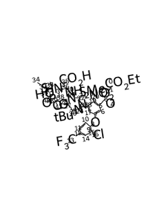 CCOC(=O)COC(=O)c1cc(Oc2ccc(C(F)(F)F)cc2Cl)ccc1[N+](=O)[O-].CSc1nnc(C(C)(C)C)c(=O)n1N.C[S+](C)C.O=C(O)CNCP(=O)([O-])O